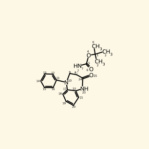 CC(C)(C)OC(=O)N[C@H]1CN(c2ccccc2)c2ccccc2NC1=O